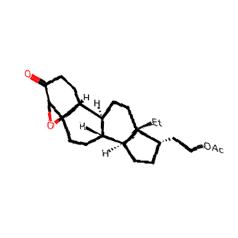 CC[C@]12CC[C@H]3[C@@H](CCC45OC4C(=O)CC[C@H]35)[C@@H]1CC[C@H]2CCOC(C)=O